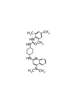 Cc1cc(C)c(NC(=O)NC2CCC(Nc3cc(N(C)C)c4ccccc4n3)CC2)c(C)c1